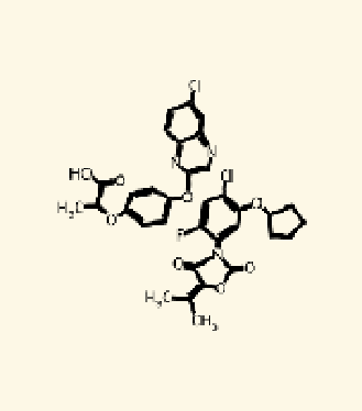 CC(C)=C1OC(=O)N(c2cc(OC3CCCC3)c(Cl)cc2F)C1=O.CC(Oc1ccc(Oc2cnc3cc(Cl)ccc3n2)cc1)C(=O)O